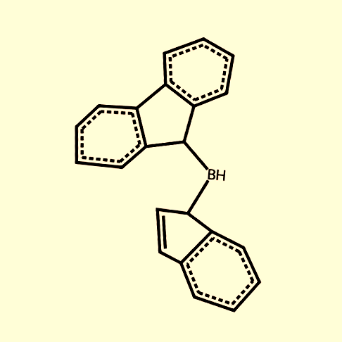 B(C1C=Cc2ccccc21)C1c2ccccc2-c2ccccc21